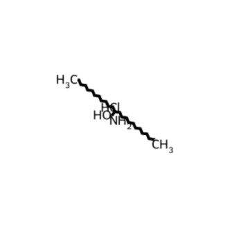 CCCCCCCCCCCCC(CCCCCCCCCCCC)C(N)O.Cl